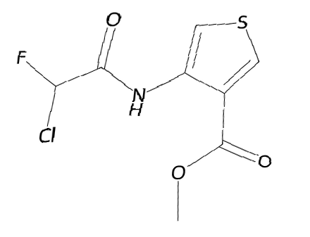 COC(=O)c1cscc1NC(=O)C(F)Cl